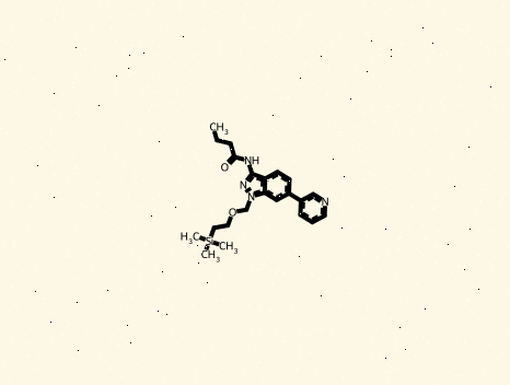 CCCC(=O)Nc1nn(COCC[Si](C)(C)C)c2cc(-c3cccnc3)ccc12